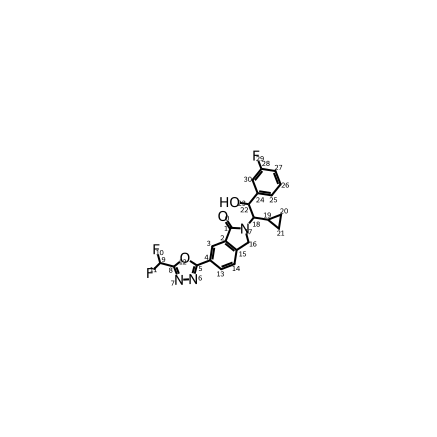 O=C1c2cc(-c3nnc(C(F)F)o3)ccc2CN1C(C1CC1)C(O)c1cccc(F)c1